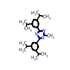 Cc1nc(-c2cc(C(C)C)cc(C(C)C)c2)nc(-c2cc(C(C)C)cc(C(C)C)c2)n1